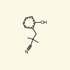 CC(C)(C#N)Cc1ccccc1O